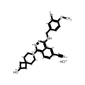 COc1ccc(CNc2nnc(N3CCC4(CC3)CC(O)C4)c3ccc(C#N)cc23)cc1Br.Cl